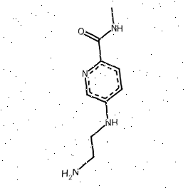 CNC(=O)c1ccc(NCCN)cn1